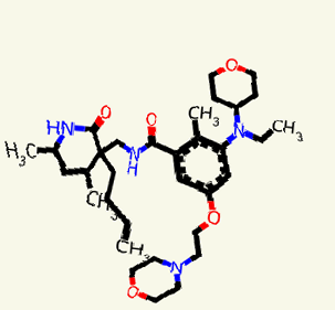 CCCCC1(CNC(=O)c2cc(OCCN3CCOCC3)cc(N(CC)C3CCOCC3)c2C)C(=O)NC(C)CC1C